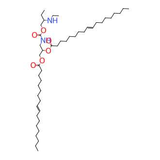 CCCCCCCCC=CCCCCCCCC(=O)OCC(CNC(=O)OCC(CC)NCC)OC(=O)CCCCCCCC=CCCCCCCCC